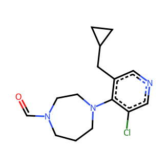 O=CN1CCCN(c2c(Cl)cncc2CC2CC2)CC1